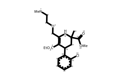 CCOC(=O)C1=C(COCCNC)NC(C)(C(=O)OC)CC1c1ccccc1Cl